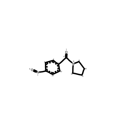 O=Nc1ccc(C(=O)N2CCCC2)cc1